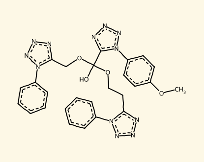 COc1ccc(-n2nnnc2C(O)(OCCc2nnnn2-c2ccccc2)OCc2nnnn2-c2ccccc2)cc1